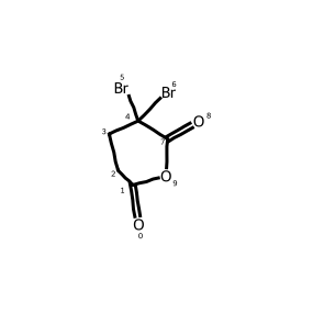 O=C1CCC(Br)(Br)C(=O)O1